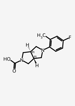 Cc1cc(F)ccc1N1C[C@@H]2CN(C(=O)O)C[C@H]2C1